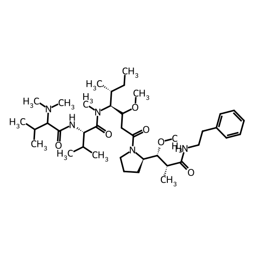 CC[C@@H](C)[C@@H](C(CC(=O)N1CCC[C@@H]1[C@H](OC)[C@@H](C)C(=O)NCCc1ccccc1)OC)N(C)C(=O)[C@@H](NC(=O)C(C(C)C)N(C)C)C(C)C